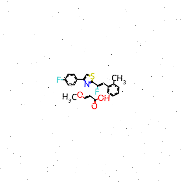 COC=CC(=O)O.Cc1ccccc1C=C(F)c1nc(-c2ccc(F)cc2)cs1